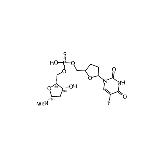 CN[C@H]1C[C@@H](O)[C@@H](COP(O)(=S)OCC2CCC(n3cc(F)c(=O)[nH]c3=O)O2)O1